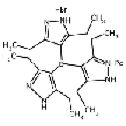 Br.CCc1n[nH]c(CC)c1B(c1c(CC)n[nH]c1CC)c1c(CC)n[nH]c1CC.[Pd]